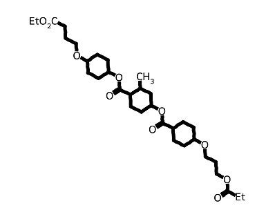 CCOC(=O)CCCOC1CCC(OC(=O)C2CCC(OC(=O)C3CCC(OCCCOC(=O)CC)CC3)CC2C)CC1